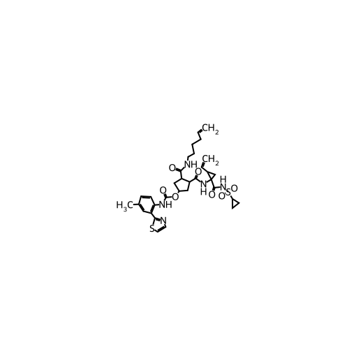 C=CCCCCNC(=O)C1CC(OC(=O)Nc2ccc(C)cc2-c2nccs2)CC1C(=O)NC1(C(=O)NS(=O)(=O)C2CC2)CC1C=C